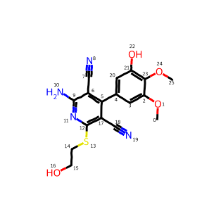 COc1cc(-c2c(C#N)c(N)nc(SCCO)c2C#N)cc(O)c1OC